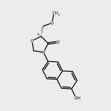 COC[C@H]1OCN(c2ccc3cc(O)ccc3c2)C1=O